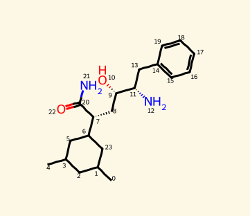 CC1CC(C)CC([C@@H](C[C@H](O)[C@@H](N)Cc2ccccc2)C(N)=O)C1